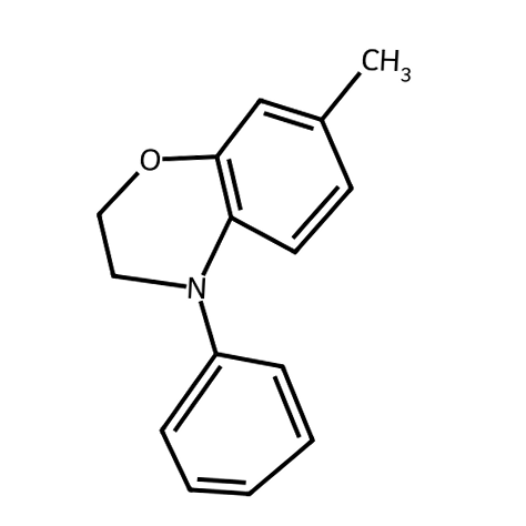 Cc1ccc2c(c1)OCCN2c1ccccc1